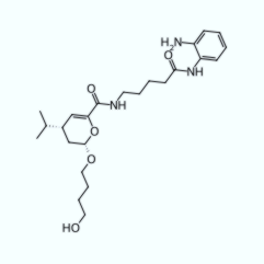 CC(C)[C@@H]1C=C(C(=O)NCCCCC(=O)Nc2ccccc2N)O[C@H](OCCCCO)C1